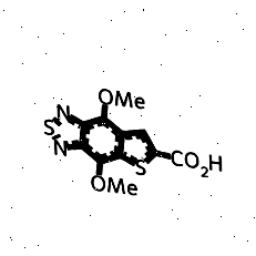 COc1c2cc(C(=O)O)sc2c(OC)c2nsnc12